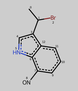 C[C](Br)c1c[nH]c2c(N=O)cccc12